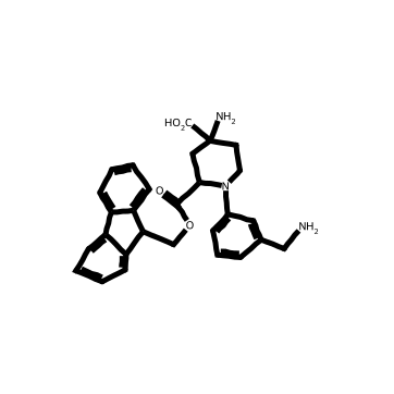 NCc1cccc(N2CCC(N)(C(=O)O)CC2C(=O)OCC2c3ccccc3-c3ccccc32)c1